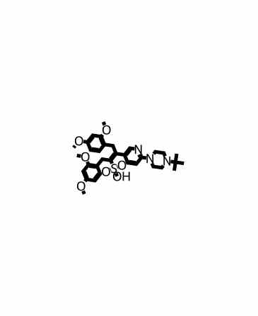 COc1ccc(CC(=C(Cc2ccc(OC)cc2OC)S(=O)(=O)O)c2ccc(N3CCN(C(C)(C)C)CC3)nc2)c(OC)c1